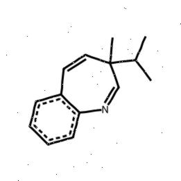 CC(C)C1(C)C=Cc2ccccc2N=C1